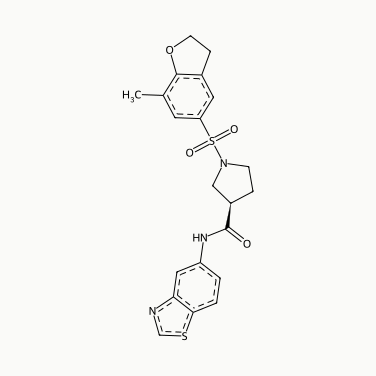 Cc1cc(S(=O)(=O)N2CC[C@@H](C(=O)Nc3ccc4scnc4c3)C2)cc2c1OCC2